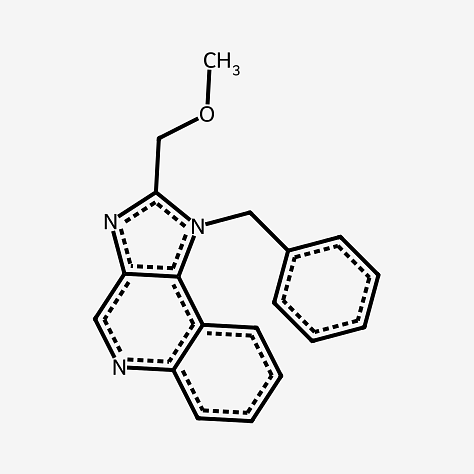 COCc1nc2cnc3ccccc3c2n1Cc1ccccc1